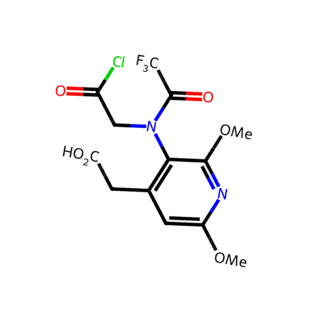 COc1cc(CC(=O)O)c(N(CC(=O)Cl)C(=O)C(F)(F)F)c(OC)n1